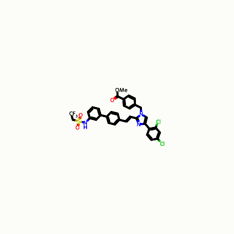 COC(=O)c1ccc(Cn2cc(-c3ccc(Cl)cc3Cl)nc2C=Cc2ccc(-c3cccc(NS(=O)(=O)CC(F)(F)F)c3)cc2)cc1